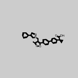 Cc1noc(-c2ccc(-c3ccc(C4(C(=O)O)CC4)cc3)cc2)c1Cn1cc(-c2ccccc2)cn1